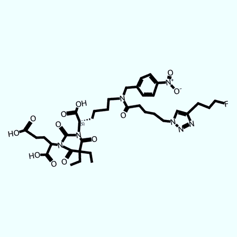 CCC1(CC)C(=O)N(C(CCC(=O)O)C(=O)O)C(=O)N([C@@H](CCCCN(Cc2ccc([N+](=O)[O-])cc2)C(=O)CCCCn2cc(CCCF)nn2)C(=O)O)C1=O